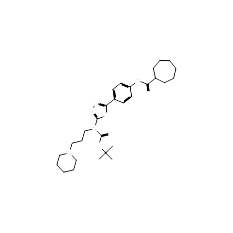 CC(C)(C)OC(=O)N(CCCN1CCCCC1)c1nnc(-c2ccc(NC(=O)C3CCCCCC3)cc2)o1